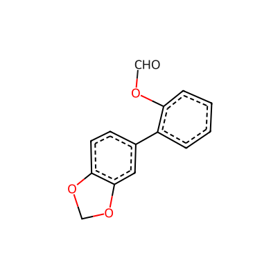 O=COc1ccccc1-c1ccc2c(c1)OCO2